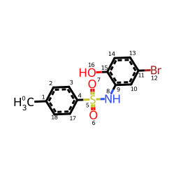 Cc1ccc(S(=O)(=O)Nc2cc(Br)ccc2O)cc1